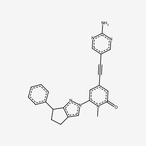 Cn1c(-n2cc3c(n2)C(c2ccccc2)CC3)cc(C#Cc2cnc(N)nc2)cc1=O